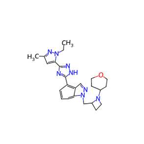 CCn1nc(C)cc1-c1n[nH]c(-c2cccc3c2cnn3CC2CCN2C2CCOCC2)n1